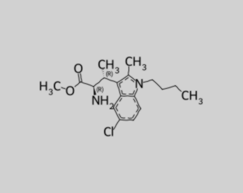 CCCCn1c(C)c([C@@H](C)[C@@H](N)C(=O)OC)c2cc(Cl)ccc21